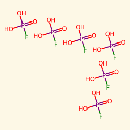 O=P(O)(O)F.O=P(O)(O)F.O=P(O)(O)F.O=P(O)(O)F.O=P(O)(O)F.O=P(O)(O)F